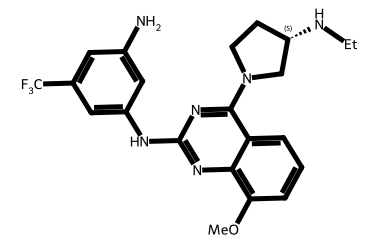 CCN[C@H]1CCN(c2nc(Nc3cc(N)cc(C(F)(F)F)c3)nc3c(OC)cccc23)C1